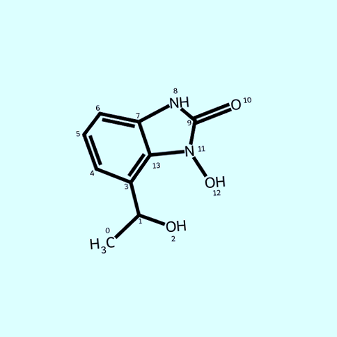 CC(O)c1cccc2[nH]c(=O)n(O)c12